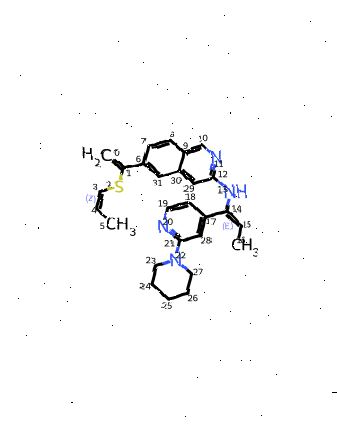 C=C(S/C=C\C)c1ccc2cnc(N/C(=C/C)c3ccnc(N4CCCCC4)c3)cc2c1